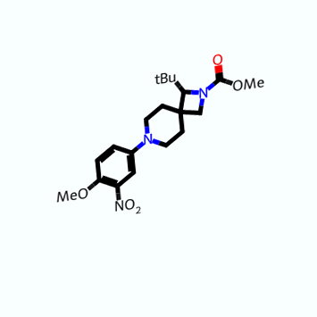 COC(=O)N1CC2(CCN(c3ccc(OC)c([N+](=O)[O-])c3)CC2)C1C(C)(C)C